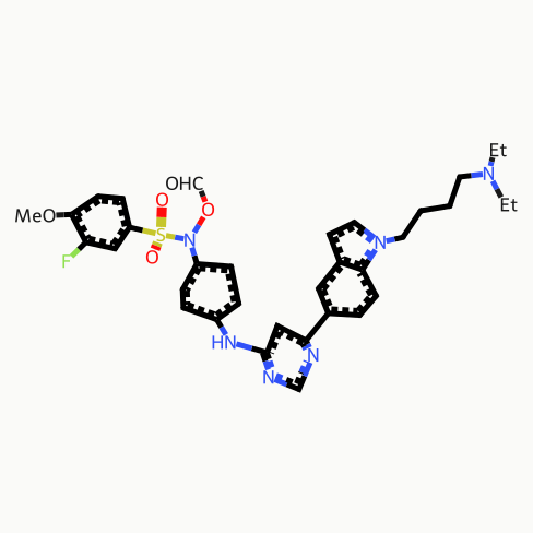 CCN(CC)CCCCn1ccc2cc(-c3cc(Nc4ccc(N(OC=O)S(=O)(=O)c5ccc(OC)c(F)c5)cc4)ncn3)ccc21